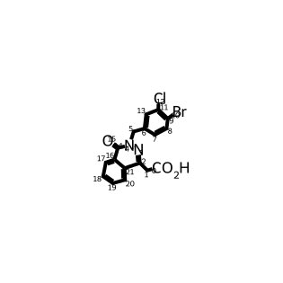 O=C(O)Cc1nn(Cc2ccc(Br)c(Cl)c2)c(=O)c2ccccc12